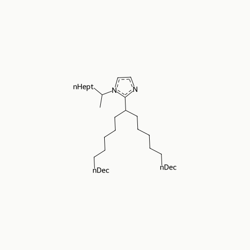 CCCCCCCCCCCCCCCC(CCCCCCCCCCCCCCC)c1nccn1C(C)CCCCCCC